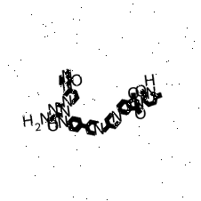 C=C1CCC(N2C(=O)c3ccc(N4CCC(CN5CCC(c6ccc(Nc7nc(N8CCC[C@@H](N9CCN(C)C9=O)C8)cnc7C(N)=O)cc6)CC5)CC4)cc3C2=O)C(=O)N1